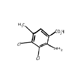 Cc1cc(C(=O)O)c(N)c(Cl)c1Cl